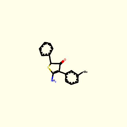 CCCCc1cccc(C2=C(N)SC(c3ccccc3)C2=O)c1